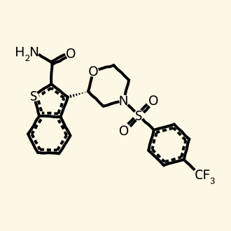 NC(=O)c1sc2ccccc2c1[C@H]1CN(S(=O)(=O)c2ccc(C(F)(F)F)cc2)CCO1